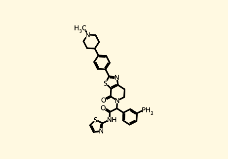 CN1CCC(c2ccc(-c3nc4c(s3)C(=O)N(C(C(=O)Nc3nccs3)c3cccc(P)c3)CC4)cc2)CC1